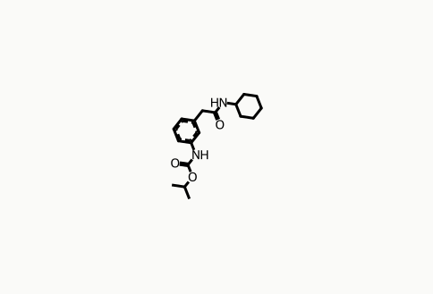 CC(C)OC(=O)Nc1cccc(CC(=O)NC2CCCCC2)c1